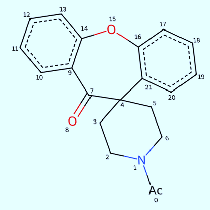 CC(=O)N1CCC2(CC1)C(=O)c1ccccc1Oc1ccccc12